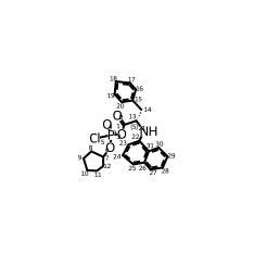 O=C(OP(=O)(Cl)OC1CCCCC1)[C@H](Cc1ccccc1)Nc1cccc2ccccc12